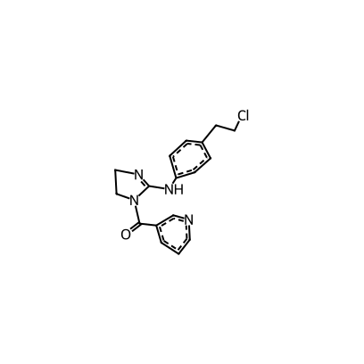 O=C(c1cccnc1)N1CCN=C1Nc1ccc(CCCl)cc1